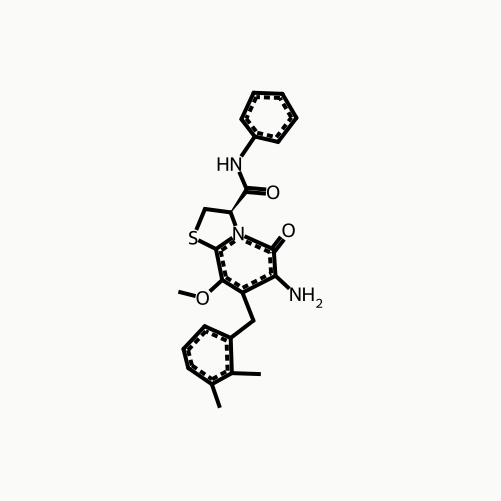 COc1c(Cc2cccc(C)c2C)c(N)c(=O)n2c1SC[C@H]2C(=O)Nc1ccccc1